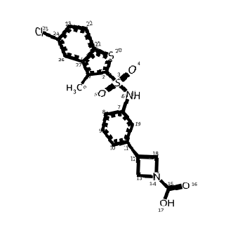 Cc1c(S(=O)(=O)Nc2cccc(C3CN(C(=O)O)C3)c2)sc2ccc(Cl)cc12